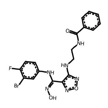 O=C(NCCNc1nonc1C(=NO)Nc1ccc(F)c(Br)c1)c1ccccc1